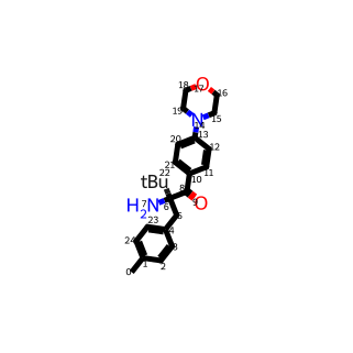 Cc1ccc(CC(N)(C(=O)c2ccc(N3CCOCC3)cc2)C(C)(C)C)cc1